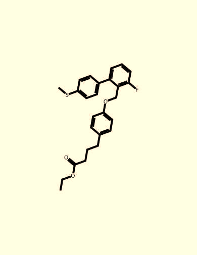 CCOC(=O)CCCc1ccc(OCc2c(F)cccc2-c2ccc(SC)cc2)cc1